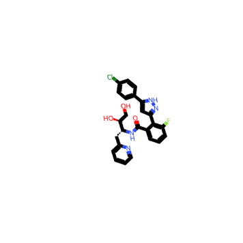 O=C(N[C@H](Cc1ccccn1)[C@@H](O)CO)c1cccc(F)c1-c1cc(-c2ccc(Cl)cc2)[nH]n1